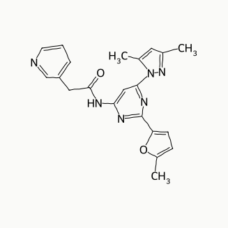 Cc1cc(C)n(-c2cc(NC(=O)Cc3cccnc3)nc(-c3ccc(C)o3)n2)n1